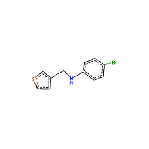 Brc1ccc(NCc2ccsc2)cc1